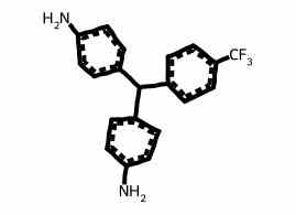 Nc1ccc(C(c2ccc(N)cc2)c2ccc(C(F)(F)F)cc2)cc1